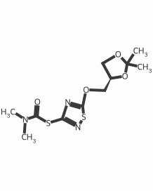 CN(C)C(=O)Sc1nsc(OC[C@H]2COC(C)(C)O2)n1